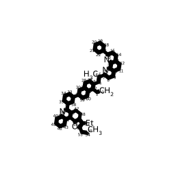 C=Cc1c(/C=C(\C)c2ccc3ccc4ccc(-c5ccccc5)nc4c3n2)ccc2cc(-c3cccc(-c4nc5ccccc5c5c4CCc4c-5oc(/C=C\C)c4CC)c3)ccc12